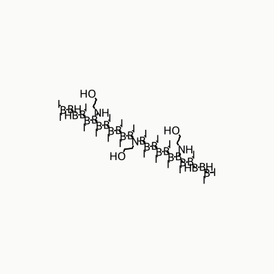 OCCNB(B(I)B(I)BBB(I)I)B(I)B(I)B(I)B(I)B(I)B(I)N(CCO)B(I)B(I)B(I)B(I)B(I)B(I)B(NCCO)B(I)B(I)BBB(I)I